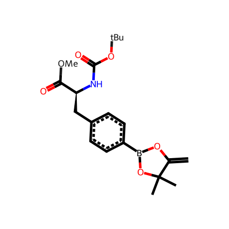 C=C1OB(c2ccc(C[C@H](NC(=O)OC(C)(C)C)C(=O)OC)cc2)OC1(C)C